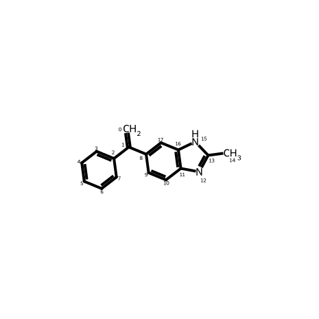 C=C(c1ccccc1)c1ccc2nc(C)[nH]c2c1